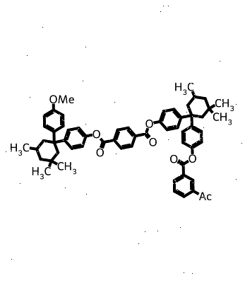 COc1ccc(C2(c3ccc(OC(=O)c4ccc(C(=O)Oc5ccc(C6(c7ccc(OC(=O)c8cccc(C(C)=O)c8)cc7)CC(C)CC(C)(C)C6)cc5)cc4)cc3)CC(C)CC(C)(C)C2)cc1